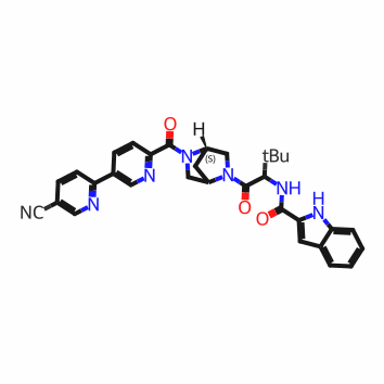 CC(C)(C)C(NC(=O)c1cc2ccccc2[nH]1)C(=O)N1C[C@@H]2CC1CN2C(=O)c1ccc(-c2ccc(C#N)cn2)cn1